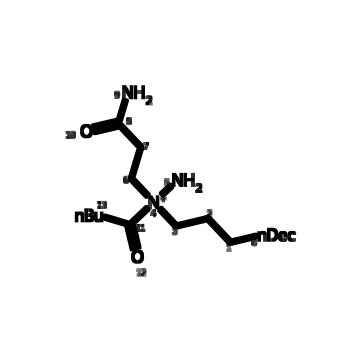 CCCCCCCCCCCCC[N+](N)(CCC(N)=O)C(=O)CCCC